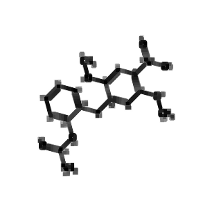 COc1cc([N+](=O)[O-])c(OC)cc1Cc1ccccc1OC(N)=O